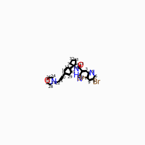 N#C/C(=C\c1ncc(Br)cc1Br)C(=O)NC1(c2ccc(C#CCN3CCOCC3)cc2)CCCC1